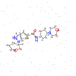 CC1(n2ncc3cc(C(=O)N[C@H]4CC[C@H](N5CCOCC5)CC4)sc32)CCCOC1